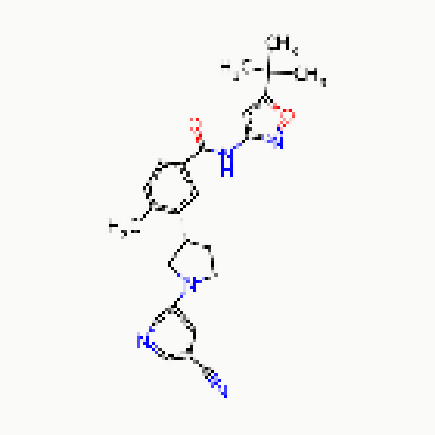 Cc1ccc(C(=O)Nc2cc(C(C)(C)C)on2)cc1[C@@H]1CCN(c2cncc(C#N)c2)C1